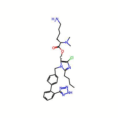 CCCCc1nc(Cl)c(COC(=O)[C@@H](CCCCN)N(C)C)n1Cc1ccc(-c2ccccc2-c2nn[nH]n2)cc1